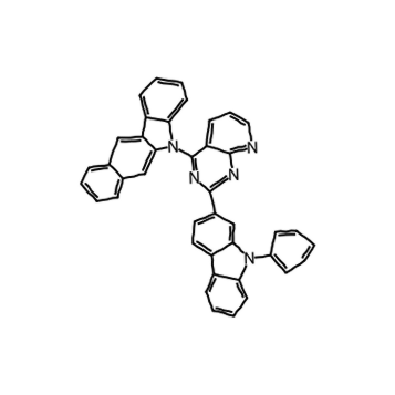 c1ccc(-n2c3ccccc3c3ccc(-c4nc(-n5c6ccccc6c6cc7ccccc7cc65)c5cccnc5n4)cc32)cc1